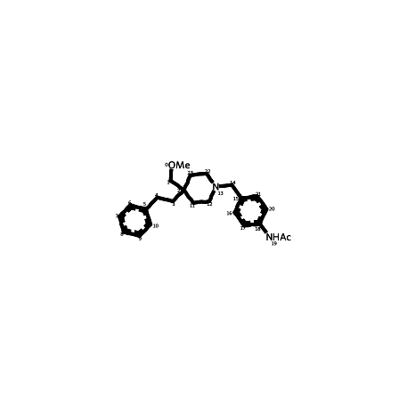 COCC1(CCc2ccccc2)CCN(Cc2ccc(NC(C)=O)cc2)CC1